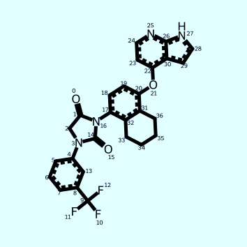 O=C1CN(c2cccc(C(F)(F)F)c2)C(=O)N1c1ccc(Oc2ccnc3[nH]ccc23)c2c1CCCC2